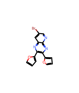 Brc1cnc2nc(-c3ccco3)c(-c3ccco3)nc2c1